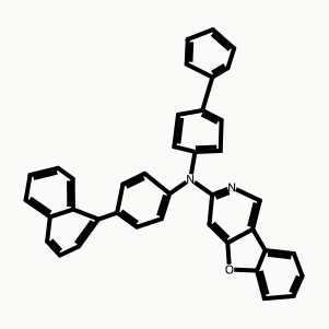 c1ccc(-c2ccc(N(c3ccc(-c4cccc5ccccc45)cc3)c3cc4oc5ccccc5c4cn3)cc2)cc1